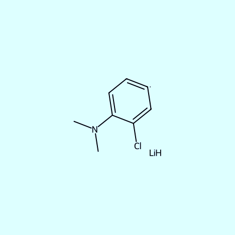 CN(C)c1cc[c]cc1Cl.[LiH]